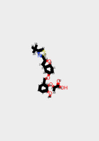 COc1cccc(COc2ccc3oc(-c4nc(C(C)(C)C)cs4)cc3c2)c1OC(C)C(=O)O